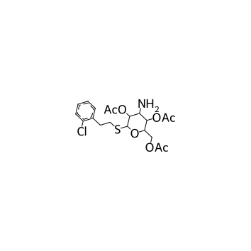 CC(=O)OCC1OC(SCCc2ccccc2Cl)C(OC(C)=O)C(N)C1OC(C)=O